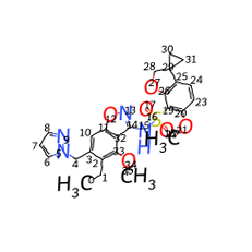 CCc1c(Cn2cccn2)cc2onc(NS(=O)(=O)c3c(OC)ccc4c3OCC43CC3)c2c1OC